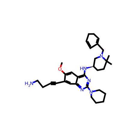 COc1cc2c(N[C@@H]3CCC(C)(C)N(CC4=CCCC=C4)C3)nc(N3CCCCC3)nc2cc1C#CCCN